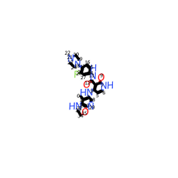 Cc1c(Nc2cc[nH]c(=O)c2C(=O)Nc2ccc(N3CCN(C)CC3)c(F)c2)cnc2c1NCCO2